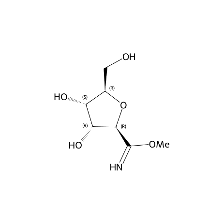 COC(=N)[C@@H]1O[C@H](CO)[C@@H](O)[C@H]1O